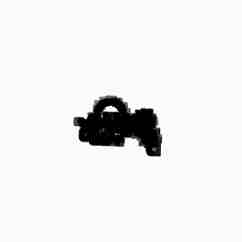 C=C1/C(=C\C(=C/C)NC(=O)OC)CCCCCCC[C@H](NC(=O)/C=C/c2cc(Cl)ccc2-n2cnnn2)CN/C=C/1NC